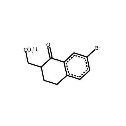 O=C(O)CC1CCc2ccc(Br)cc2C1=O